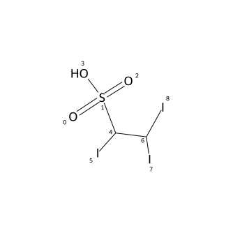 O=S(=O)(O)C(I)C(I)I